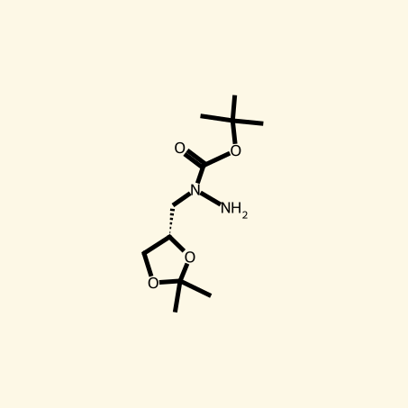 CC(C)(C)OC(=O)N(N)C[C@H]1COC(C)(C)O1